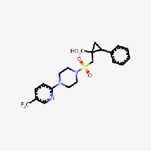 O=C(O)C1(CS(=O)(=O)N2CCN(c3ccc(C(F)(F)F)cn3)CC2)CC1c1ccccc1